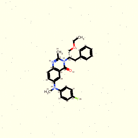 CCOC[C@H](Cc1ccccc1)n1c(C)nc2ccc(N(C)c3ccc(F)cc3)cc2c1=O